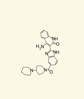 Nc1c(-c2nc3cc(C(=O)N4CCC(N5CCCCC5)CC4)ccc3[nH]2)c(=O)[nH]c2ccccc12